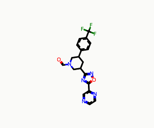 O=CN1CC(c2ccc(C(F)(F)F)cc2)CC(c2noc(-c3cnccn3)n2)C1